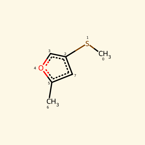 CSc1coc(C)c1